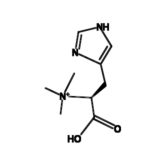 C[N+](C)(C)[C@@H](Cc1c[nH]cn1)C(=O)O